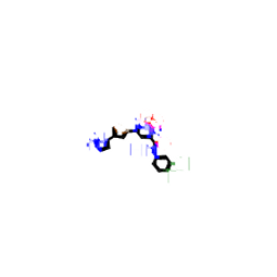 CN1C(C(=O)Nc2ccc(F)c(Cl)c2)=CC(c2cc(-c3ccn(C)n3)cs2)=NS1(=O)=O